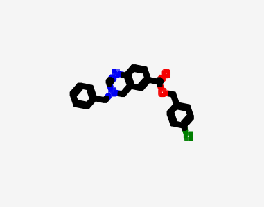 O=C(OCc1ccc(Cl)cc1)c1ccc2c(c1)CN(Cc1ccccc1)C=N2